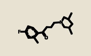 Cc1cc(F)ccc1C(=O)CCCN1CC(C)CC(C)C1